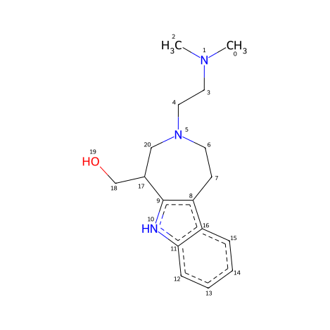 CN(C)CCN1CCc2c([nH]c3ccccc23)C(CO)C1